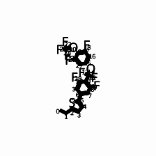 CCc1ccc(-c2cc(F)c(C(F)(F)Oc3cc(F)c(OC(F)(F)F)c(F)c3)c(F)c2)s1